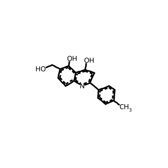 Cc1ccc(-c2cc(O)c3c(O)c(CO)ccc3n2)cc1